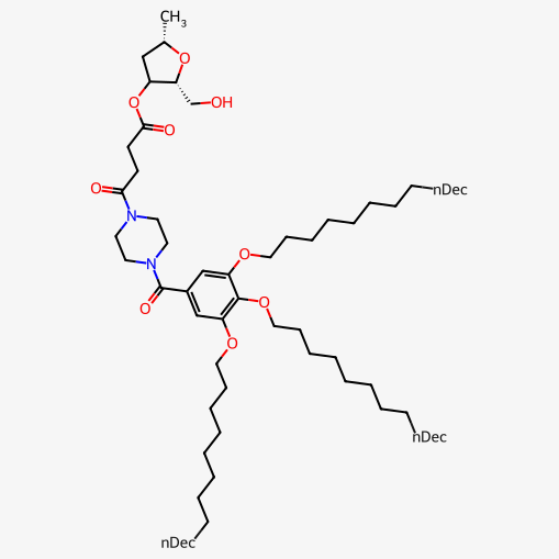 CCCCCCCCCCCCCCCCCCOc1cc(C(=O)N2CCN(C(=O)CCC(=O)OC3C[C@H](C)O[C@@H]3CO)CC2)cc(OCCCCCCCCCCCCCCCCCC)c1OCCCCCCCCCCCCCCCCCC